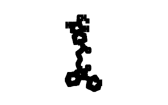 C=C1NCC2(CCN(C(=O)CCCn3c(=O)n(-c4cccnc4)c4ccccc43)CC2)N1